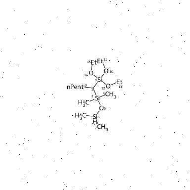 CCCCCC([Si](C)(C)O[SiH](C)C)[Si](OCC)(OCC)OCC